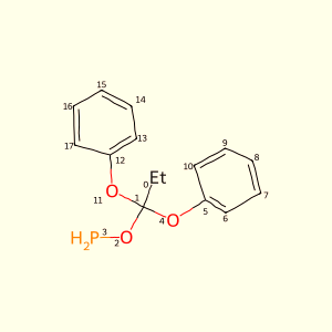 CCC(OP)(Oc1ccccc1)Oc1ccccc1